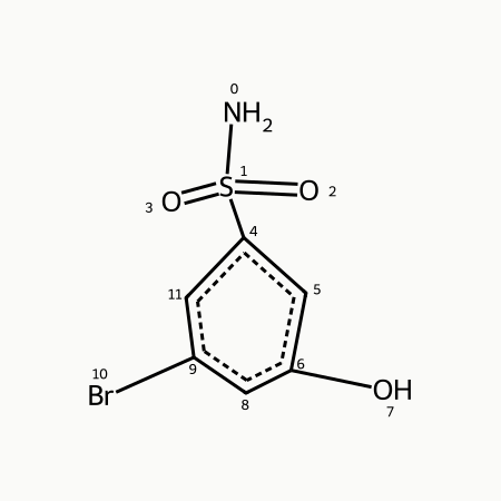 NS(=O)(=O)c1cc(O)cc(Br)c1